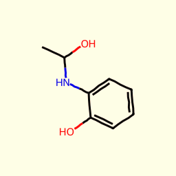 CC(O)Nc1ccccc1O